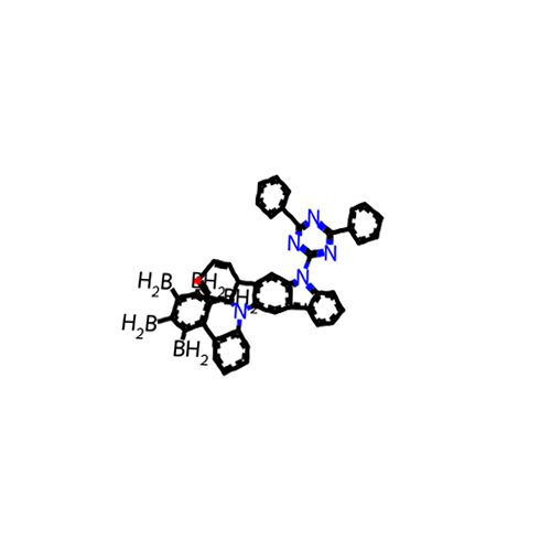 Bc1c(B)c(B)c(-c2ccccc2N2c3cc4c5ccccc5n(-c5nc(-c6ccccc6)nc(-c6ccccc6)n5)c4cc3C3C=CC=CC32)c(B)c1B